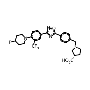 O=C(O)[C@H]1CCN(Cc2ccc(-c3nc(-c4ccc(N5CCC(F)CC5)c(C(F)(F)F)c4)no3)cc2)C1